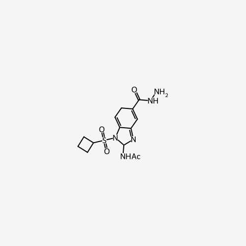 CC(=O)NC1N=C2C=C(C(=O)NN)CC=C2N1S(=O)(=O)C1CCC1